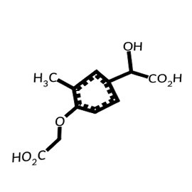 Cc1cc(C(O)C(=O)O)ccc1OCC(=O)O